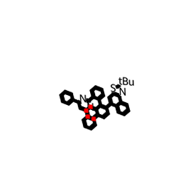 CC(C)(C)c1nc2c(cc(-c3ccc4ccccc4c3-c3ccccc3-c3nc(-c4ccccc4)cc(-c4ccccc4)n3)c3ccccc32)s1